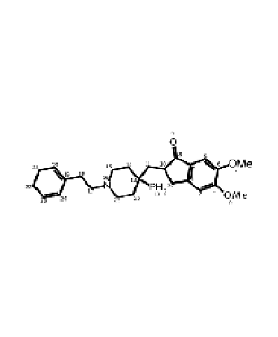 COc1cc2c(cc1OC)C(=O)C(CC1(P)CCN(CCC3=CCCC=C3)CC1)C2